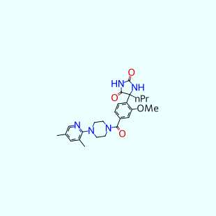 CCCC1(c2ccc(C(=O)N3CCN(c4ncc(C)cc4C)CC3)cc2OC)NC(=O)NC1=O